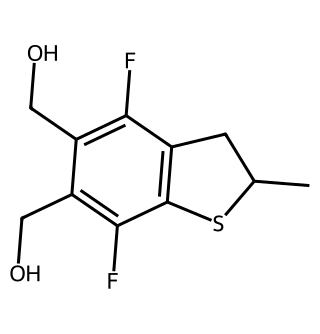 CC1Cc2c(F)c(CO)c(CO)c(F)c2S1